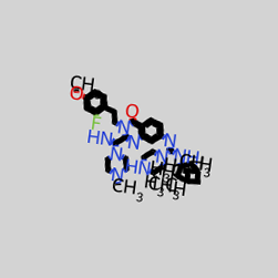 COc1ccc(CCn2c(C(=N)N3CCN(C)CC3)nc3cc(N=C(N[C@H]4C[C@@H]5C[C@@H]([C@H]4C)C5(C)C)N4CCN[C@@H](C)C4)ccc3c2=O)c(F)c1